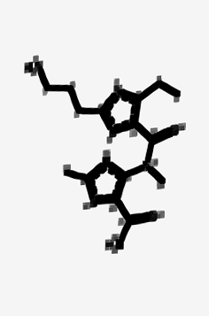 CCc1nc(CCCN)sc1C(=O)N(C)c1nc(C)sc1C(N)=O